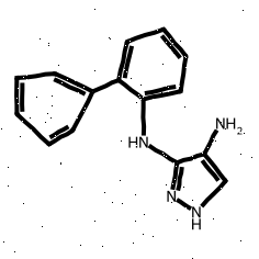 Nc1c[nH]nc1Nc1ccccc1-c1ccccc1